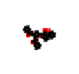 O=C(O)CC1(OCc2ccc(COC(=O)c3ccccc3)c(COC(=O)c3ccccc3)c2)C=CC=C(c2ccccc2)C1